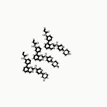 C=CC(=O)Nc1cccc(-c2cccc3cnc(Nc4ccc(C5CNCCO5)nc4)nc23)c1.C=CC(=O)Nc1cccc(-c2cccc3cnc(Nc4ccc(N5CCN(C)CC5)nc4)nc23)c1.C=CC(=O)Nc1cccc(-c2cccc3cnc(Nc4ccc(N5CCNCC5)nc4)nc23)c1